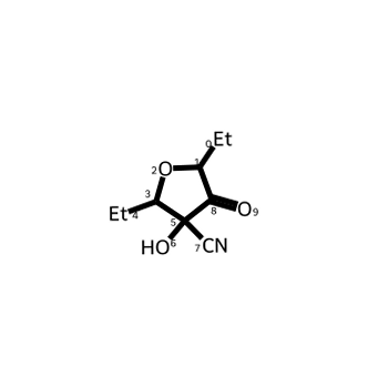 CCC1OC(CC)C(O)(C#N)C1=O